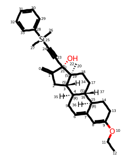 C=C1C[C@H]2[C@@H]3CC=C4C=C(OCC)CC[C@@H]4[C@H]3CC[C@]2(C)[C@]1(O)C#C[Si](C)(C)c1ccccc1